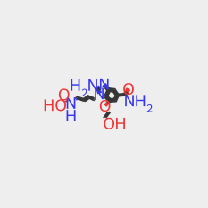 NC(=O)c1cc(OCCO)c2c(c1)nc(N)n2CC=CCNC(=O)O